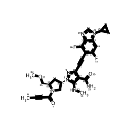 CC#CC(=O)N1C[C@@H](n2nc(C#Cc3c(F)cc4c(ncn4C4CC4)c3F)c(C(N)=O)c2NC)C[C@@H]1COC